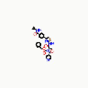 O=C(NC1CC1)c1ccc(-c2csc(NC(=O)C3CO[C@@H](c4ccncc4)N3C(=O)OCc3ccccc3)n2)cc1